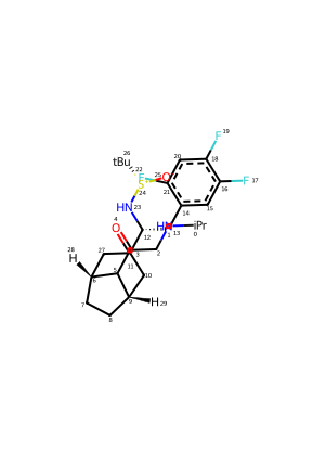 CC(C)NCC(=O)C1[C@@H]2CC[C@H]1CC([C@@H](Cc1cc(F)c(F)cc1F)N[S@@+]([O-])C(C)(C)C)C2